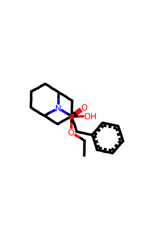 CCOC(=O)N1C2CCCC1CC(O)(Cc1ccccc1)C2